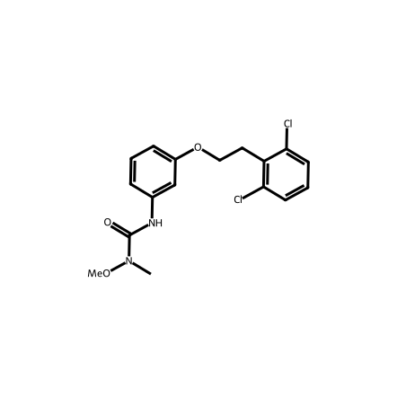 CON(C)C(=O)Nc1cccc(OCCc2c(Cl)cccc2Cl)c1